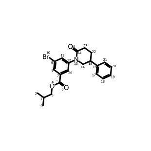 CC(C)COC(=O)c1cc(Br)cc(N2CC(c3ccccc3)CCC2=O)c1